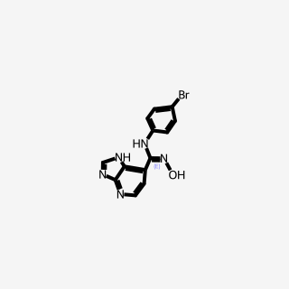 O/N=C(/Nc1ccc(Br)cc1)c1ccnc2nc[nH]c12